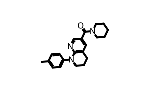 Cc1ccc(N2CCCc3cc(C(=O)N4CCCCC4)cnc32)cc1